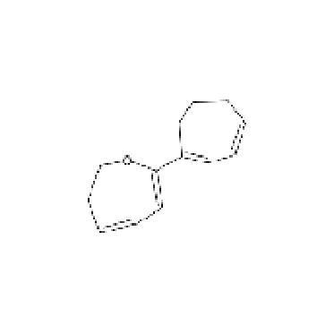 C1=CCCCC(C2=CC=CCCO2)=C1